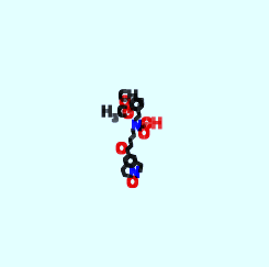 COc1cccc(CCN(CCCCC(=O)c2cc3c4c(c2)CCN4C(=O)CC3)C(=O)O)c1OC